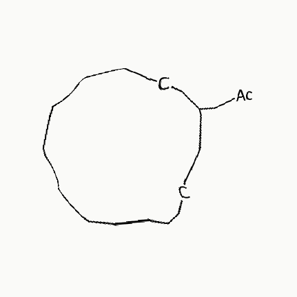 CC(=O)C1CCCCCCCCCCC1